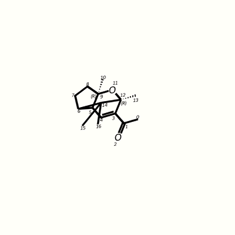 CC(=O)C1=CC2C3CC[C@@]2(C)O[C@]1(C)C3(C)C